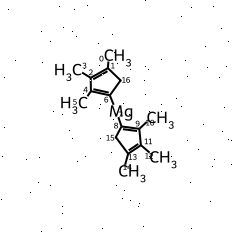 CC1=C(C)C(C)=[C]([Mg][C]2=C(C)C(C)=C(C)C2)C1